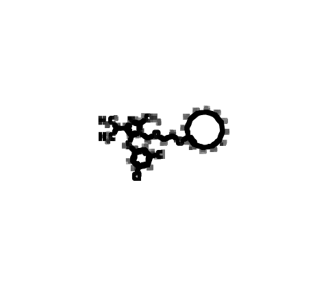 Cc1nc(C(C)C)c(Sc2cc(Cl)cc(Cl)c2)n1COCCOC1=CCCCCCCCCCC1